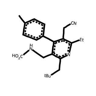 CCc1nc(CC(C)(C)C)c(CNC(=O)O)c(-c2ccc(C)cc2)c1CC#N